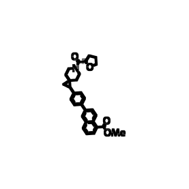 COC(=O)c1cccc2cc(-c3ccc(C4CC45CCN(C(=O)[C@H]4CCCO4)CC5)cc3)ccc12